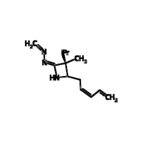 C=C/C=C\CC1N/C(=N/N=C)[C@@]1(C)C(C)C